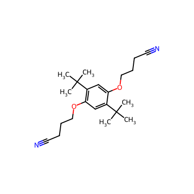 CC(C)(C)c1cc(OCCCC#N)c(C(C)(C)C)cc1OCCCC#N